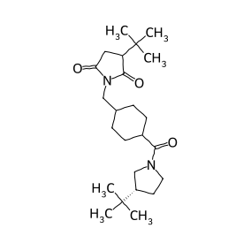 CC(C)(C)C1CC(=O)N(CC2CCC(C(=O)N3CC[C@H](C(C)(C)C)C3)CC2)C1=O